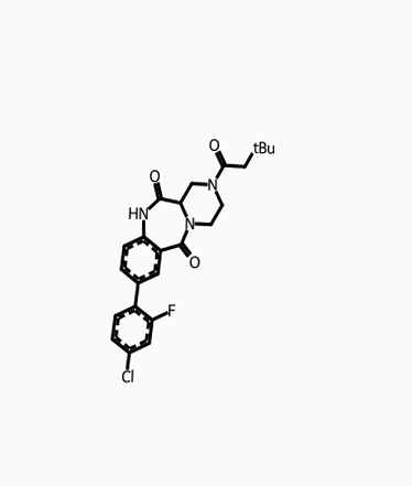 CC(C)(C)CC(=O)N1CCN2C(=O)c3cc(-c4ccc(Cl)cc4F)ccc3NC(=O)C2C1